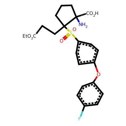 CCOC(=O)CCC1(S(=O)(=O)c2ccc(Oc3ccc(F)cc3)cc2)CCCC1(N)C(=O)O